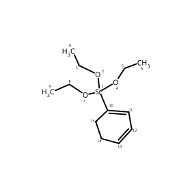 CCO[Si](OCC)(OCC)C1=CC=CCC1